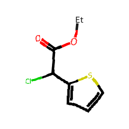 CCOC(=O)C(Cl)c1cccs1